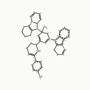 CC1(N2C3=C(CCCC3)C3C=CC=CC32)C=C(C2CCC=C(c3ccc(C#N)cc3)N2)C=C(n2c3c(c4ccccc42)C=CCC3)C1